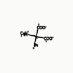 CC(C)C(C(=O)[O-])(C(=O)[O-])C(C)C.[Ca+2]